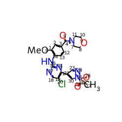 COc1cc(C(=O)N2CCOCC2)ccc1Nc1ncc(Cl)c(-c2cnn(S(C)(=O)=O)c2)n1